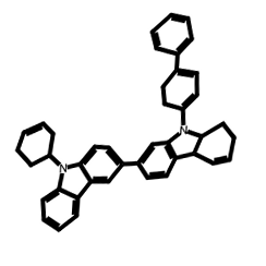 C1=CC2c3ccc(-c4ccc5c(c4)c4ccccc4n5C4CC=CCC4)cc3N(C3=CC=C(c4ccccc4)CC3)C2CC1